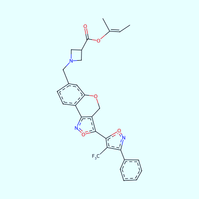 C/C=C(\C)OC(=O)C1CN(Cc2ccc3c(c2)OCc2c-3noc2-c2onc(-c3ccccc3)c2C(F)(F)F)C1